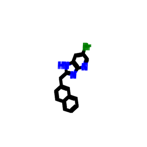 Brc1cnc2nc(Cc3ccc4ccccc4c3)[nH]c2c1